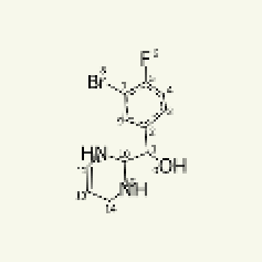 OC(c1ccc(F)c(Br)c1)C1NC=CCN1